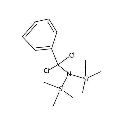 C[Si](C)(C)N(C(Cl)(Cl)c1ccccc1)[Si](C)(C)C